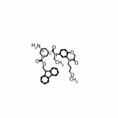 CCN(C(=O)[C@H]1C[C@@H](N)CN(C(=O)OCC2c3ccccc3-c3ccccc32)C1)c1ccc2c(c1)N(CCCOC)C(=O)CO2